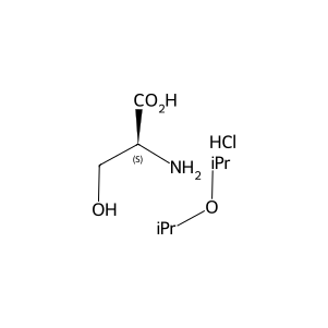 CC(C)OC(C)C.Cl.N[C@@H](CO)C(=O)O